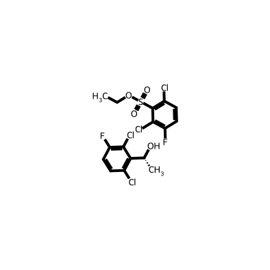 CCOS(=O)(=O)c1c(Cl)ccc(F)c1Cl.C[C@@H](O)c1c(Cl)ccc(F)c1Cl